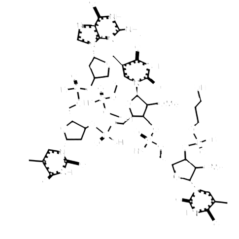 COC1C(OP(=O)(S)OC[C@H]2O[C@@H](n3cc(C)c(=O)[nH]c3=O)C(OC)C2OP(=O)(S)OCCCO)[C@@H](COP(=O)(S)OC2C[C@H](n3cc(C)c(=O)[nH]c3=O)O[C@@H]2COP(=O)(S)OC2C[C@H](n3cnc4c(=O)[nH]c(N)nc43)O[C@@H]2COP(=O)(S)OC(C)(C)C)O[C@H]1n1cc(C)c(=O)[nH]c1=O